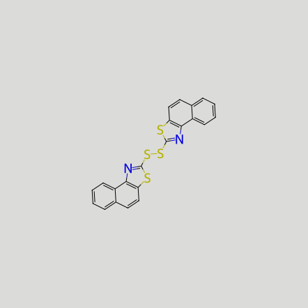 c1ccc2c(c1)ccc1sc(SSc3nc4c(ccc5ccccc54)s3)nc12